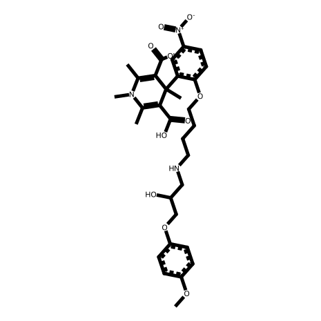 COc1ccc(OCC(O)CNCCCCOc2ccc([N+](=O)[O-])cc2C2(C)C(C(=O)O)=C(C)N(C)C(C)=C2C(=O)O)cc1